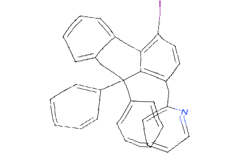 Ic1ccc(-c2ccccn2)c2c1-c1ccccc1C2(c1ccccc1)c1ccccc1